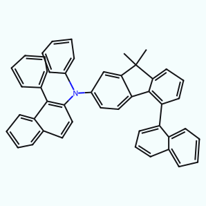 CC1(C)c2cc(N(c3ccccc3)c3ccc4ccccc4c3-c3ccccc3)ccc2-c2c(-c3cccc4ccccc34)cccc21